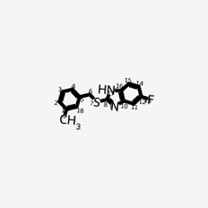 Cc1cccc(CSc2nc3cc(F)ccc3[nH]2)c1